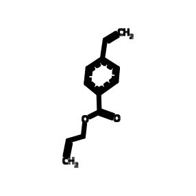 C=CCOC(=O)c1ccc(C=C)cc1